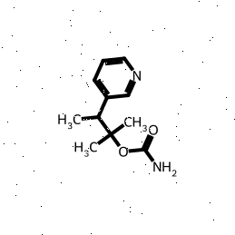 CC(c1cccnc1)C(C)(C)OC(N)=O